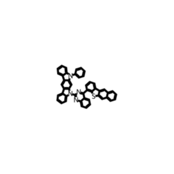 c1ccc(-n2c3ccccc3c3cc4c5ccccc5n(-c5nc(-c6cccc7c6sc6cc8ccccc8cc67)c6ccccc6n5)c4cc32)cc1